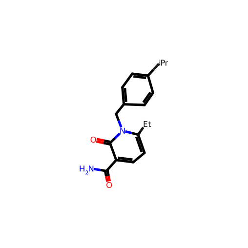 CCc1ccc(C(N)=O)c(=O)n1Cc1ccc(C(C)C)cc1